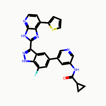 O=C(Nc1cncc(-c2cc(F)c3[nH]nc(-c4nc5c(-c6cccs6)ccnc5[nH]4)c3c2)c1)C1CC1